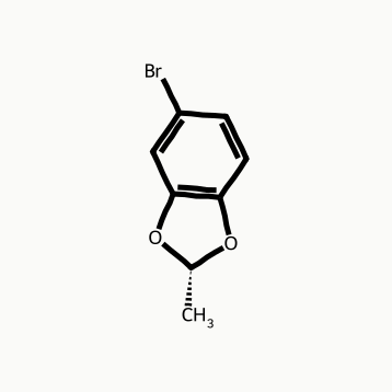 C[C@H]1Oc2ccc(Br)cc2O1